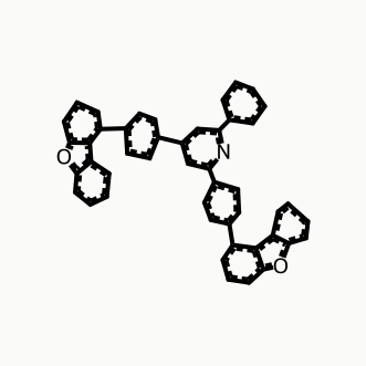 c1ccc(-c2cc(-c3ccc(-c4cccc5oc6ccccc6c45)cc3)cc(-c3ccc(-c4cccc5oc6ccccc6c45)cc3)n2)cc1